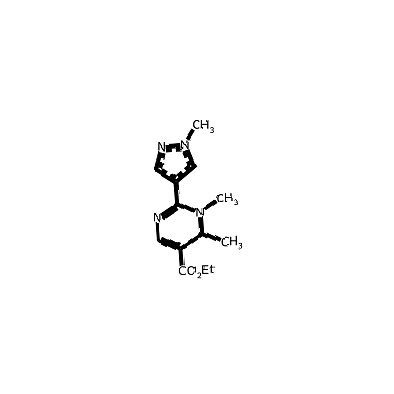 CCOC(=O)C1=CN=C(c2cnn(C)c2)N(C)C1C